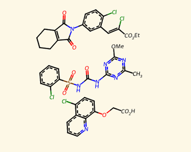 CCOC(=O)/C(Cl)=C/c1cc(N2C(=O)C3=C(CCCC3)C2=O)ccc1Cl.COc1nc(C)nc(NC(=O)NS(=O)(=O)c2ccccc2Cl)n1.O=C(O)COc1ccc(Cl)c2cccnc12